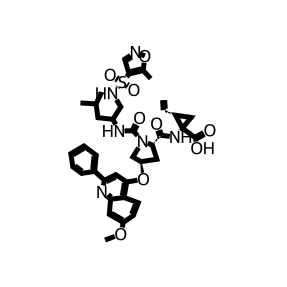 C=C[C@@H]1C[C@]1(NC(=O)[C@@H]1C[C@@H](Oc2cc(-c3ccccc3)nc3cc(OC)ccc23)CN1C(=O)NC(CNS(=O)(=O)c1cnoc1C)CC(C)C)C(=O)O